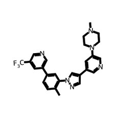 Cc1ccc(-c2cncc(C(F)(F)F)c2)cc1-n1cc(-c2cncc(N3CCN(C)CC3)c2)cn1